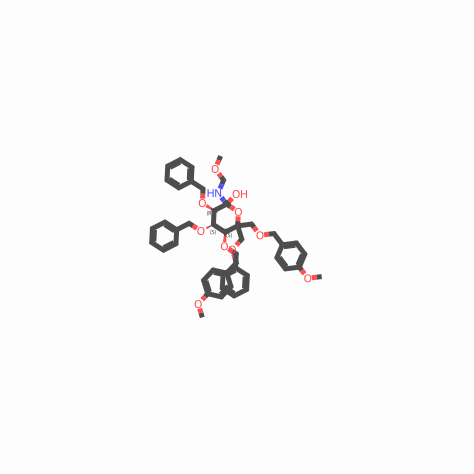 COCNC1(O)OC(COCc2ccc(OC)cc2)(COCc2ccc(OC)cc2)[C@@H](OCc2ccccc2)[C@H](OCc2ccccc2)[C@H]1OCc1ccccc1